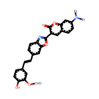 CCN(CC)c1ccc2cc(-c3nc4ccc(/C=C/c5ccc(O)c(OC=O)c5)cc4o3)c(=O)oc2c1